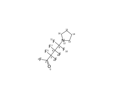 O=C(F)C(F)(F)C(F)(F)C(F)(F)N1CCCC1